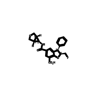 O=C(N[C@H]1[C@@H]2COC[C@@H]21)c1cc(C(=O)O)c2c(c1)[C@H](c1ccccc1)[C@@H](CF)O2